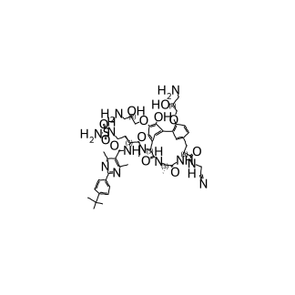 Cc1nc(-c2ccc(C(C)(C)C)cc2)nc(C)c1C(=O)N[C@@H](CCNS(N)(=O)=O)C(=O)N(C)[C@@H]1C(=O)N[C@@H](C)C(=O)N[C@H](C(=O)NCC#N)Cc2ccc(OC[C@H](O)CN)c(c2)-c2cc1cc(OC[C@H](O)CN)c2O